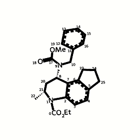 CCOC(=O)N1c2ccc3c(c2[C@@H](N(Cc2ccccc2)C(=O)OC)C[C@H]1C)CCC3